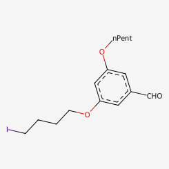 CCCCCOc1cc(C=O)cc(OCCCCI)c1